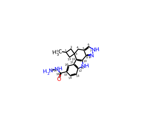 CC1CC2(Cc3c[nH]nc3-c3[nH]c4ccc(C(=O)NN)cc4c32)C1